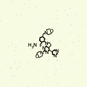 Fc1ccc(CN2CCOCC2)cc1N1CCc2c(-c3cncnc3)nc(N3CCOCC3)nc21.N